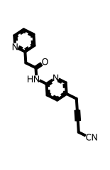 N#CCC#CCc1ccc(NC(=O)Cc2ccccn2)nc1